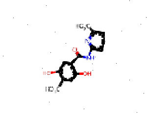 O=C(O)c1cccc(NC(=O)c2cc(O)c(C(=O)O)cc2O)n1